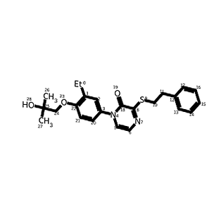 CCc1cc(-n2ccnc(SCCc3ccccc3)c2=O)ccc1OCC(C)(C)O